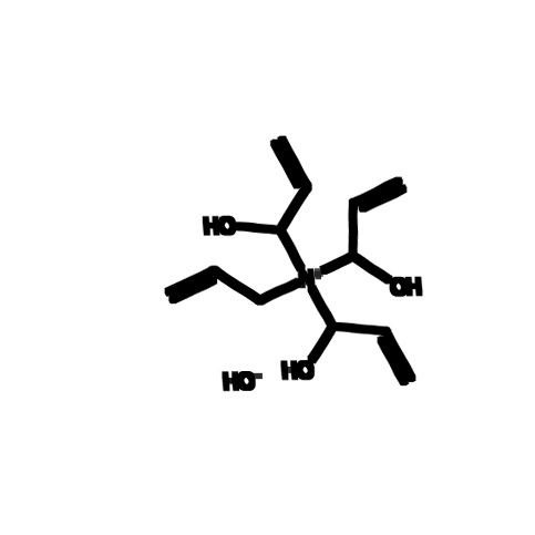 C=CC[N+](C(O)C=C)(C(O)C=C)C(O)C=C.[OH-]